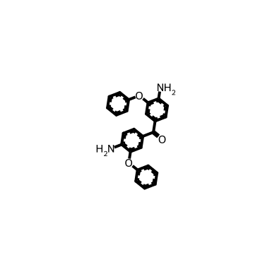 Nc1ccc(C(=O)c2ccc(N)c(Oc3ccccc3)c2)cc1Oc1ccccc1